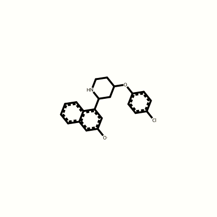 [O]c1cc(C2CC(Oc3ccc(Cl)cc3)CCN2)c2ccccc2c1